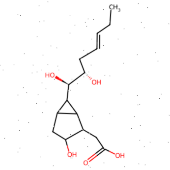 CCC=CC[C@H](O)[C@H](O)C1C2CC(O)C(CC(=O)O)C21